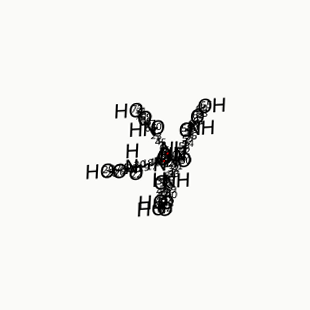 O=C(CCCCCNC(=O)CN(CC(=O)NCCCCCC(=O)NCCOCCO)C(CCCCNC(=O)C1CCC(OP(=O)(O)O)CC1)C(=O)NCCCCCC(=O)NCCOCCO)NCCOCCO